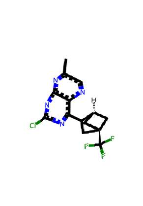 Cc1cnc2c(C3C[C@]4(C(F)(F)F)C[C@@H]3C4)nc(Cl)nc2n1